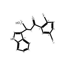 O=C(CC(C(=O)O)c1c[nH]c2ccccc12)c1cc(F)ccc1F